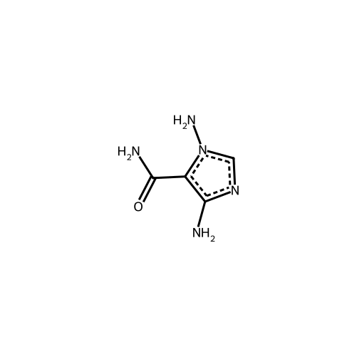 NC(=O)c1c(N)ncn1N